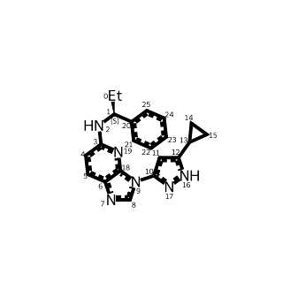 CC[C@H](Nc1ccc2ncn(-c3cc(C4CC4)[nH]n3)c2n1)c1ccccc1